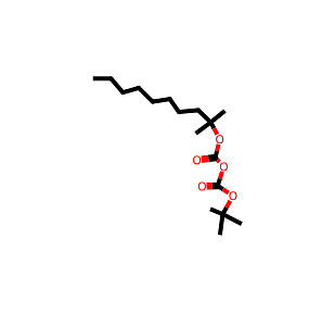 CCCCCCCCC(C)(C)OC(=O)OC(=O)OC(C)(C)C